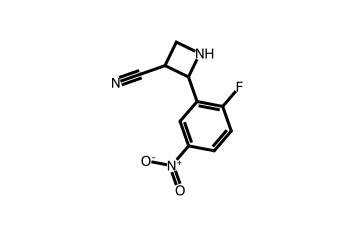 N#CC1CNC1c1cc([N+](=O)[O-])ccc1F